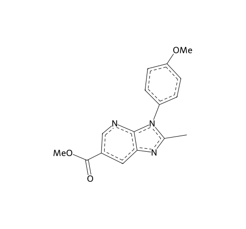 COC(=O)c1cnc2c(c1)nc(C)n2-c1ccc(OC)cc1